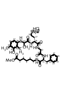 COC(=O)CCCCCNC(=O)[C@H](Cc1ccccc1)NC(=O)CNC(=O)[C@@H](CCSC)NC(=O)C(C)Nc1ccc(C)c(O)c1C.Cl.O